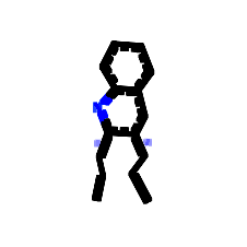 C=C/C=c1/cc2ccccc2n/c1=C/C=C